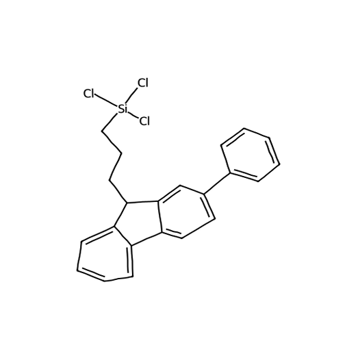 Cl[Si](Cl)(Cl)CCCC1c2ccccc2-c2ccc(-c3ccccc3)cc21